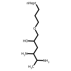 CCCCCCCCCCOCC(O)CC(N)C(C)N